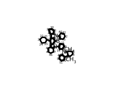 CC12CCCCC1(C)N(c1ccc3c(c1)-n1c4c(c5c(C6CCCCC6)c6c7ccccc7n7c6c(c51)B3C1=C7C=CCC1)C=CCC4)c1ccccc12